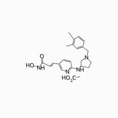 CC(=O)O.Cc1ccc(CN2CC[C@@H](Nc3ccc(/C=C/C(=O)NO)cn3)C2)cc1C